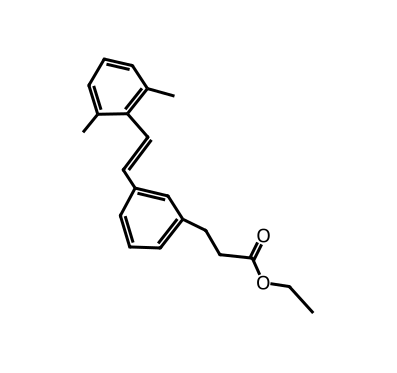 CCOC(=O)CCc1cccc(C=Cc2c(C)cccc2C)c1